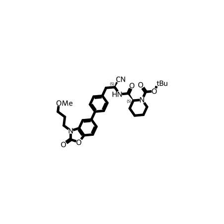 COCCCn1c(=O)oc2ccc(-c3ccc(C[C@@H](C#N)NC(=O)[C@@H]4CCCCN4C(=O)OC(C)(C)C)cc3)cc21